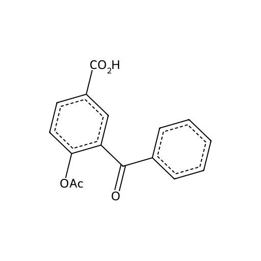 CC(=O)Oc1ccc(C(=O)O)cc1C(=O)c1ccccc1